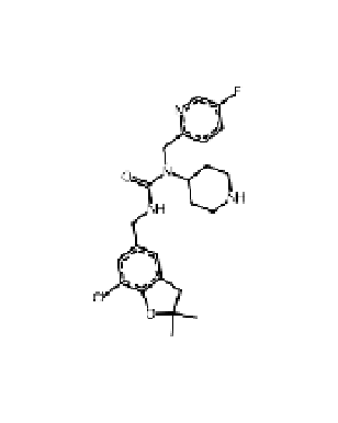 CC1(C)Cc2cc(CNC(=O)N(Cc3ccc(F)cn3)C3CCNCC3)cc(Cl)c2O1